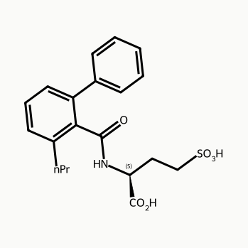 CCCc1cccc(-c2ccccc2)c1C(=O)N[C@@H](CCS(=O)(=O)O)C(=O)O